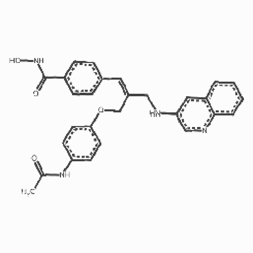 CC(=O)Nc1ccc(OCC(=Cc2ccc(C(=O)NO)cc2)CNc2cnc3ccccc3c2)cc1